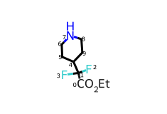 CCOC(=O)C(F)(F)C1CCNCC1